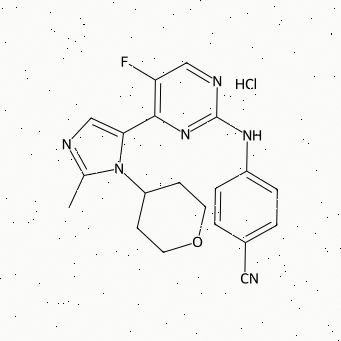 Cc1ncc(-c2nc(Nc3ccc(C#N)cc3)ncc2F)n1C1CCOCC1.Cl